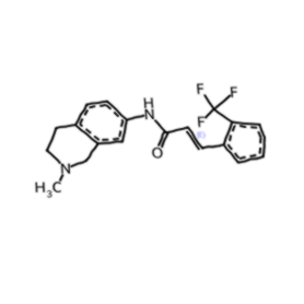 CN1CCc2ccc(NC(=O)/C=C/c3ccccc3C(F)(F)F)cc2C1